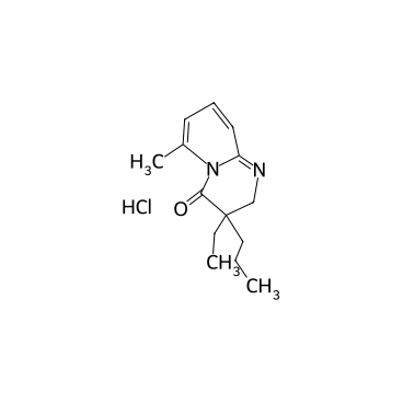 CCCC1(CC)CN=C2C=CC=C(C)N2C1=O.Cl